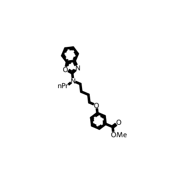 CCCN(CCCCOc1cccc(C(=O)OC)c1)c1nc2ccccc2o1